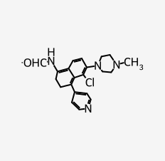 CN1CCN(c2ccc3c(c2Cl)=C(c2ccncc2)CCC=3N[C]=O)CC1